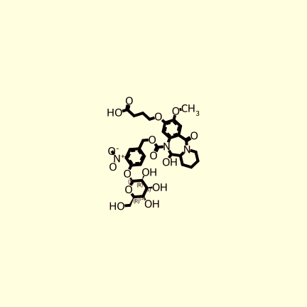 COc1cc2c(cc1OCCCC(=O)O)N(C(=O)OCc1ccc(O[C@@H]3O[C@H](CO)[C@@H](O)[C@H](O)[C@H]3O)c([N+](=O)[O-])c1)C(O)C1CCCCN1C2=O